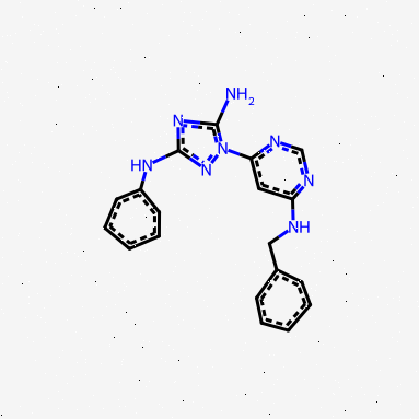 Nc1nc(Nc2ccccc2)nn1-c1cc(NCc2ccccc2)ncn1